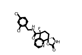 O=C1NC[C@]2(CC[C@@](F)(C(=O)NCc3ccc(Cl)cc3Cl)c3cccnc32)O1